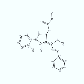 COC(=O)CC1=NN(c2ccccc2Cl)C(=O)C1=C(CCl)NCc1ccccc1